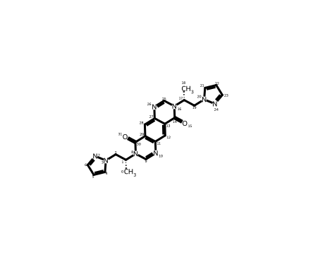 C[C@H](Cn1cccn1)n1cnc2cc3c(=O)n([C@H](C)Cn4cccn4)cnc3cc2c1=O